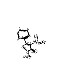 CC(C)Nc1c(-c2ccccc2)sn(C(C)C)c1=O